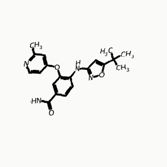 Cc1cc(Oc2cc(C([NH])=O)ccc2Nc2cc(C(C)(C)C)on2)ccn1